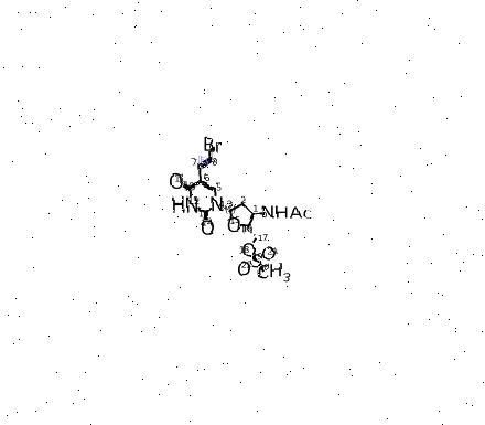 CC(=O)NC1C[C@@H](n2cc(/C=C/Br)c(=O)[nH]c2=O)O[C@H]1COS(C)(=O)=O